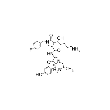 CC(N)CN1CN(NC(=O)C2CN(Cc3ccc(F)cc3)C(=O)C2C(O)CCCCN)C(=O)[C@H]1Cc1ccc(O)cc1